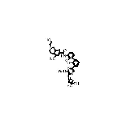 COc1nc(-c2cccc(-c3cccc(NC(=O)c4cc(C#N)c5c(n4)CN(CCO)CC5)c3Cl)c2Cl)cnc1CN1CC(C)(O)C1